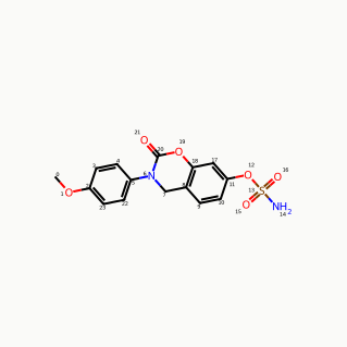 COc1ccc(N2Cc3ccc(OS(N)(=O)=O)cc3OC2=O)cc1